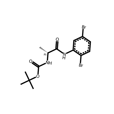 C[C@@H](NC(=O)OC(C)(C)C)C(=O)Nc1cc(Br)ccc1Br